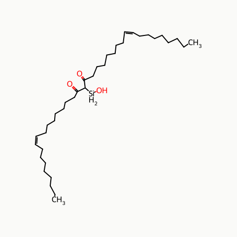 CCCCCCCC/C=C\CCCCCCCC(=O)C([SiH2]O)C(=O)CCCCCCC/C=C\CCCCCCCC